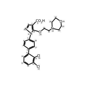 O=C(O)c1cnn(-c2ccc(-c3cccc(Cl)c3Cl)cc2)c1OCCN1CCOCC1